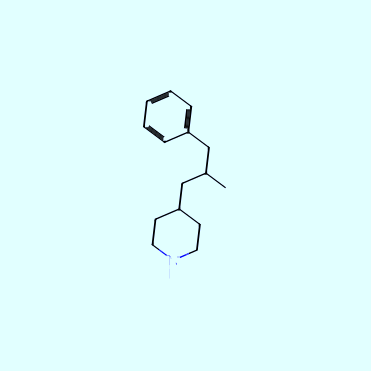 CC(Cc1ccccc1)CC1CCNCC1